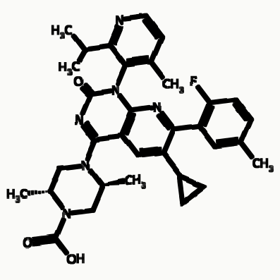 Cc1ccc(F)c(-c2nc3c(cc2C2CC2)c(N2C[C@@H](C)N(C(=O)O)C[C@@H]2C)nc(=O)n3-c2c(C)ccnc2C(C)C)c1